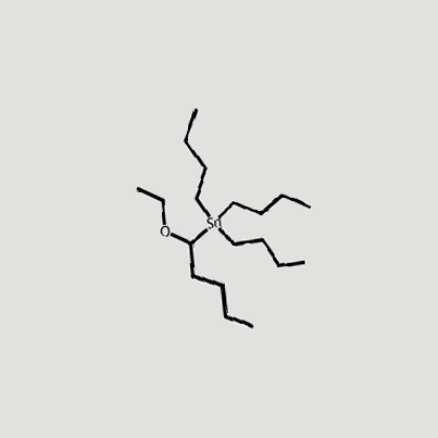 CCCC[CH](OCC)[Sn]([CH2]CCC)([CH2]CCC)[CH2]CCC